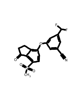 CS(=O)(=O)c1ccc(Oc2cc(C#N)cc(C(F)F)c2)c2c1C(=O)CC2